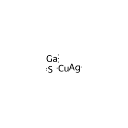 [Ag].[Cu].[Ga].[S]